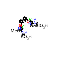 COc1nc(OCc2cccc(-c3cccc(COc4nc(OC)c(CN[C@@H](C)CC(=O)O)cc4Cl)c3C)c2C)c(Cl)cc1CN[C@@H](C)CC(=O)O